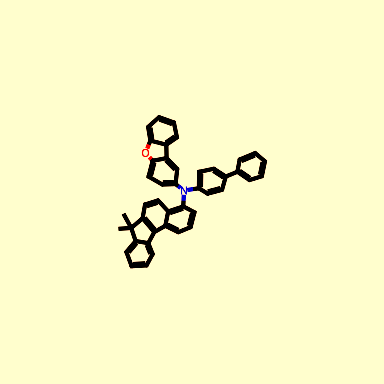 CC1(C)c2ccccc2-c2c1ccc1c(N(c3ccc(-c4ccccc4)cc3)c3ccc4oc5ccccc5c4c3)cccc21